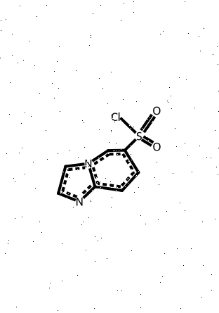 O=S(=O)(Cl)c1ccc2nccn2c1